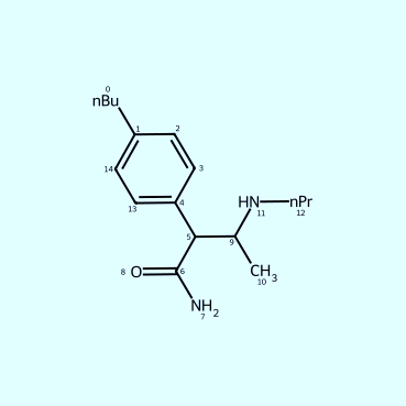 CCCCc1ccc(C(C(N)=O)C(C)NCCC)cc1